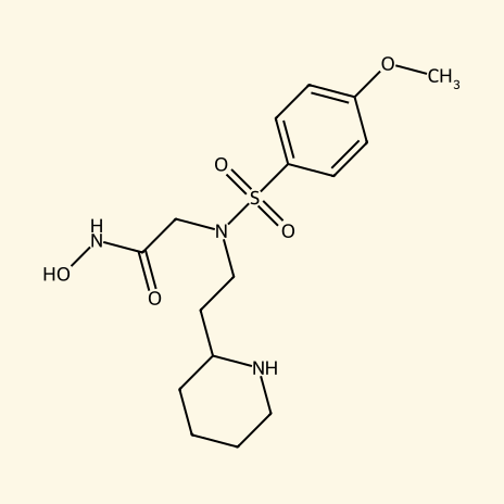 COc1ccc(S(=O)(=O)N(CCC2CCCCN2)CC(=O)NO)cc1